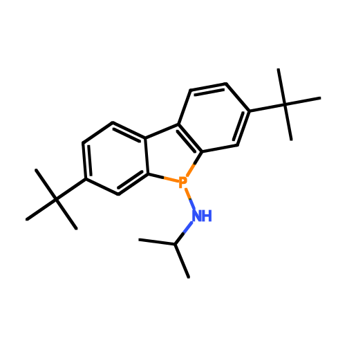 CC(C)Np1c2cc(C(C)(C)C)ccc2c2ccc(C(C)(C)C)cc21